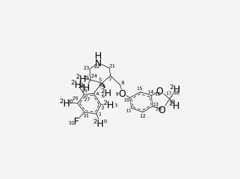 [2H]c1c([2H])c([C@@]2([2H])C(COc3ccc4c(c3)OC([2H])([2H])O4)CNCC2([2H])[2H])c([2H])c([2H])c1F